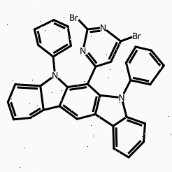 Brc1cc(-c2c3c(cc4c5ccccc5n(-c5ccccc5)c24)c2ccccc2n3-c2ccccc2)nc(Br)n1